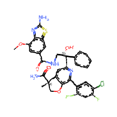 COc1cc(C(=O)NC[C@@](O)(c2ccccc2)c2cc3c(c(-c4cc(Cl)c(F)cc4F)n2)OC[C@]3(C)C(N)=O)cc2sc(N)nc12